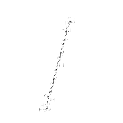 O=C(O)NCCNC(=O)CCOCCOCCOCCOCCNCCOCCOCCOCCOCCC(=O)NCCNC(=O)O